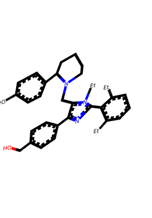 CCc1cccc(CC)c1-c1nc(-c2ccc(CO)cc2)c(CN2CCCCC2c2ccc(OC)cc2)n1CC